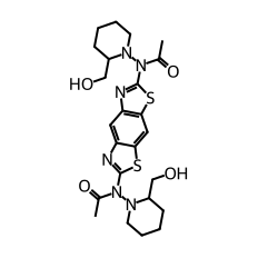 CC(=O)N(c1nc2cc3nc(N(C(C)=O)N4CCCCC4CO)sc3cc2s1)N1CCCCC1CO